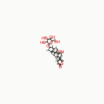 CC12CCC3C(CCC4=CC(OC5OC(CO)C(O)C(O)C5O)CCC43C=O)C1(O)CCC2c1ccc(=O)oc1